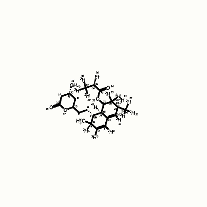 [2H]C1=C([2H])[C@]([2H])(C)[C@H](CCC2C[C@@H](O)CC(=O)O2)[C@@H]2C1=C([2H])[C@]([2H])(C([2H])([2H])[2H])C([2H])([2H])C2OC(=O)[C@H](CC)C([2H])([2H])[2H]